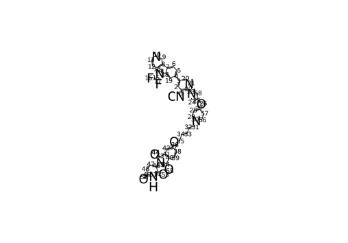 N#Cc1cc(-c2ccc3c4cnccc4n(C(F)F)c3c2)cnc1N1CC(OC2CCN(CCCCCOc3ccc4c(c3)C(=O)N(C3CCC(=O)NC3=O)C4=O)CC2)C1